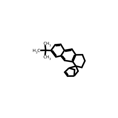 CC(C)(C)c1ccc2cc3c(cc2c1)C1(CCC3)CC2C=CC1C2